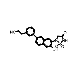 N#CCCc1cccc(-c2ccc3cc(O)c(N4CC(=O)NS4(=O)=O)cc3c2)c1